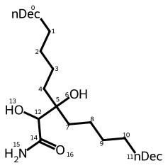 CCCCCCCCCCCCCCC(O)(CCCCCCCCCCCCCC)C(O)C(N)=O